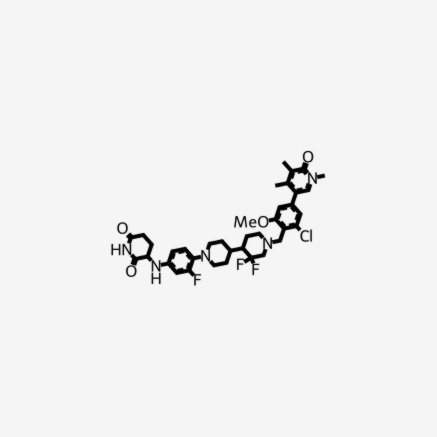 COc1cc(-c2cn(C)c(=O)c(C)c2C)cc(Cl)c1CN1CCC(C2CCN(c3ccc(NC4CCC(=O)NC4=O)cc3F)CC2)C(F)(F)C1